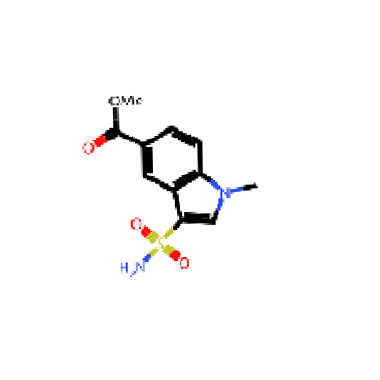 COC(=O)c1ccc2c(c1)c(S(N)(=O)=O)cn2C